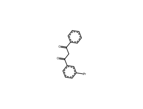 CC(C)c1cccc(C(=O)CC(=O)c2ccccc2)c1